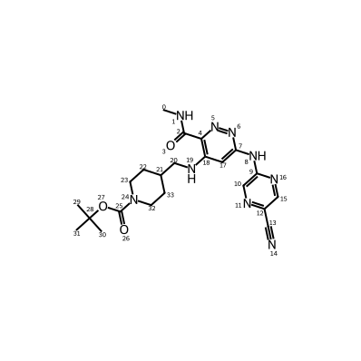 CNC(=O)c1nnc(Nc2cnc(C#N)cn2)cc1NCC1CCN(C(=O)OC(C)(C)C)CC1